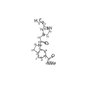 CNC(=O)c1ccc2c(c1)N(C(=O)CN1CCN[C@H](C)C1)CC2